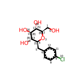 OC[C@H]1O[C@@H](Cc2ccc(Cl)cc2)[C@H](O)[C@@H](O)[C@@H]1O